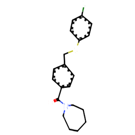 O=C(c1ccc(CSc2ccc(Cl)cc2)cc1)N1CCCCCC1